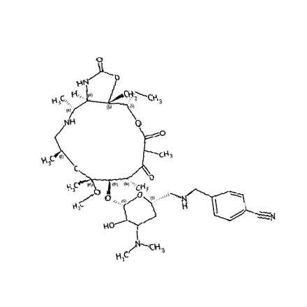 CC[C@@H]1OC(=O)C(C)C(=O)[C@H](C)[C@@H](O[C@@H]2O[C@H](CNCc3ccc(C#N)cc3)CC(N(C)C)C2O)[C@](C)(OC)C[C@@H](C)CN[C@H](C)[C@H]2NC(=O)O[C@]12C